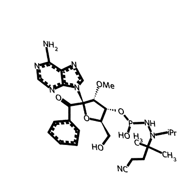 CO[C@@H]1[C@H](OP(O)NN(C(C)C)C(C)(C)CCC#N)[C@@H](CO)O[C@@]1(C(=O)c1ccccc1)n1cnc2c(N)ncnc21